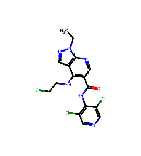 CCn1ncc2c(NCCCl)c(C(=O)Nc3c(Cl)cncc3Cl)cnc21